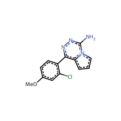 COc1ccc(-c2nnc(N)n3cccc23)c(Cl)c1